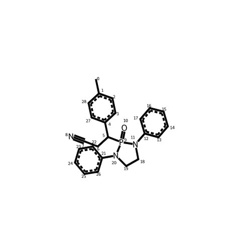 Cc1ccc(C(CC#N)P2(=O)N(c3ccccc3)CCN2c2ccccc2)cc1